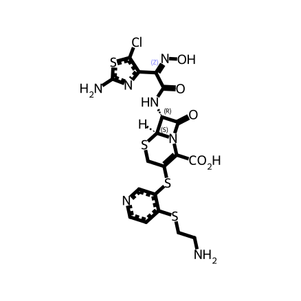 NCCSc1ccncc1SC1=C(C(=O)O)N2C(=O)[C@@H](NC(=O)/C(=N\O)c3nc(N)sc3Cl)[C@@H]2SC1